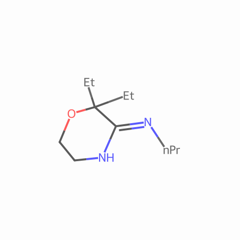 CCCN=C1NCCOC1(CC)CC